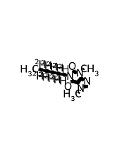 [2H]C([2H])(C)C([2H])([2H])C([2H])([2H])C([2H])([2H])C([2H])([2H])n1c(=O)c2c(ncn2C)n(C)c1=O